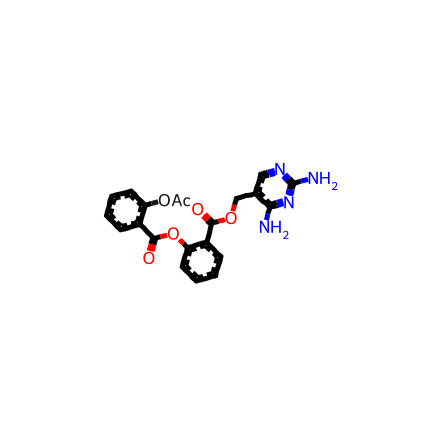 CC(=O)Oc1ccccc1C(=O)Oc1ccccc1C(=O)OCc1cnc(N)nc1N